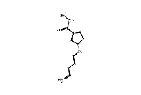 C=CCCCO[C@H]1CCN(C(=O)OC(C)(C)C)C1